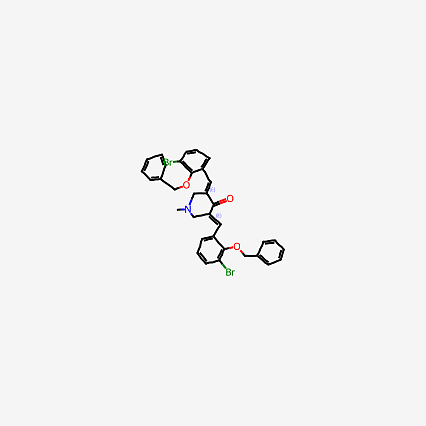 CN1C/C(=C\c2cccc(Br)c2OCc2ccccc2)C(=O)/C(=C/c2cccc(Br)c2OCc2ccccc2)C1